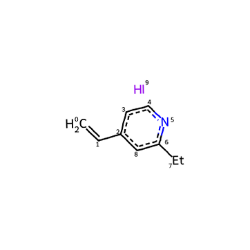 C=Cc1ccnc(CC)c1.I